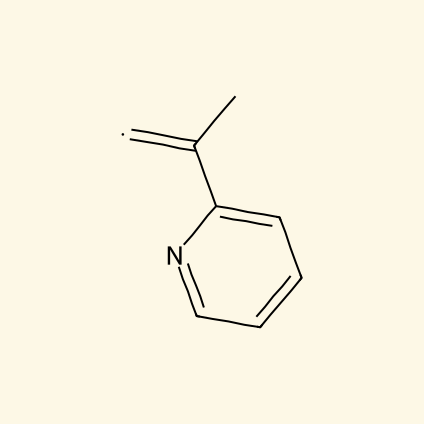 [CH]=C(C)c1ccccn1